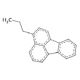 CCCc1ccc2c3c(cccc13)-c1ccccc1-2